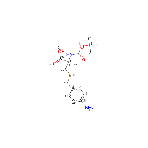 CC(C)(C)OC(=O)N[C@@](C)(CSCc1ccc(N)cc1)C(=O)O